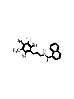 [2H]c1c([2H])c(CCCN[C@H](C)c2cccc3ccccc23)c([2H])c(C(F)(F)F)c1[2H]